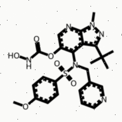 COc1ccc(S(=O)(=O)N(Cc2cccnc2)c2c(OC(=O)NO)cnc3c2c(C(C)(C)C)nn3C)cc1